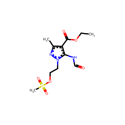 CCOC(=O)c1c(C)nn(CCOS(C)(=O)=O)c1NC=O